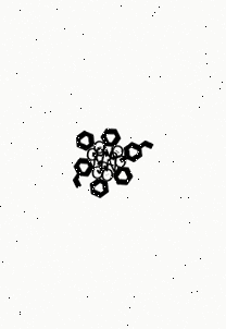 C=Cc1ccc(OP2(Oc3ccccc3)=NP(Oc3ccccc3)(Oc3ccccc3)=NP(Oc3ccccc3)(Oc3ccc(C=C)cc3)=N2)cc1